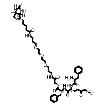 [N-]=[N+]=CC(=O)CC[C@H](NC(=O)[C@@H](N)Cc1ccccc1)C(=O)N[C@@H](Cc1ccccc1)C(=O)NCC(=O)NCCCOCCOCCOCCCNC(=O)CCCC[C@@H]1SC[C@@H]2NC(=O)N[C@@H]21